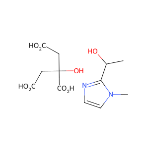 CC(O)c1nccn1C.O=C(O)CC(O)(CC(=O)O)C(=O)O